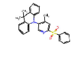 Cc1cc(S(=O)(=O)c2ccccc2)ncc1N1c2ccccc2C(C)(C)c2ccccc21